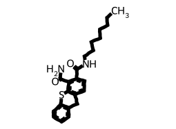 CCCCCCCCNC(=O)c1ccc2c(c1C(N)=O)Sc1ccccc1C2